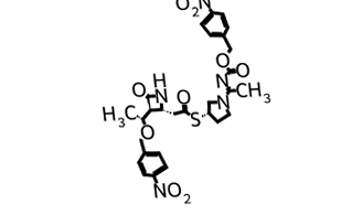 C/C(=N\C(=O)OCc1ccc([N+](=O)[O-])cc1)N1CC[C@H](SC(=O)C[C@H]2NC(=O)[C@@H]2[C@@H](C)OCc2ccc([N+](=O)[O-])cc2)C1